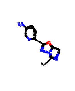 Cc1ncc2oc(-c3ccc(N)cn3)nn12